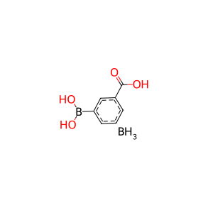 B.O=C(O)c1cccc(B(O)O)c1